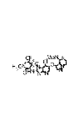 CNc1nccn2ncc(Oc3cnc4nc(Nc5cc(C(F)(F)F)cn(C)c5=O)n(C)c4c3Cl)c12